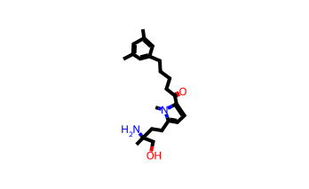 Cc1cc(C)cc(CCCCC(=O)c2ccc(CCC(C)(N)CO)n2C)c1